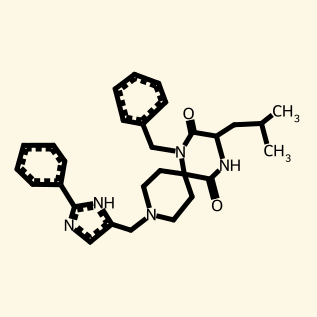 CC(C)CC1NC(=O)C2(CCN(Cc3cnc(-c4ccccc4)[nH]3)CC2)N(Cc2ccccc2)C1=O